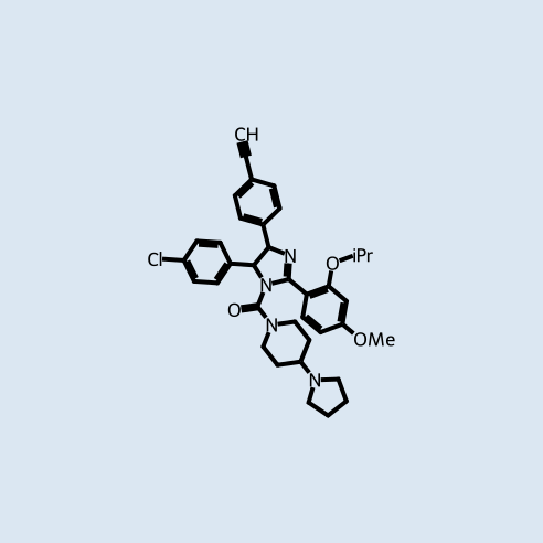 C#Cc1ccc(C2N=C(c3ccc(OC)cc3OC(C)C)N(C(=O)N3CCC(N4CCCC4)CC3)C2c2ccc(Cl)cc2)cc1